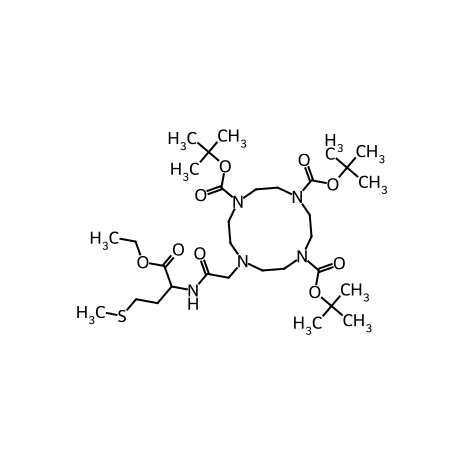 CCOC(=O)C(CCSC)NC(=O)CN1CCN(C(=O)OC(C)(C)C)CCN(C(=O)OC(C)(C)C)CCN(C(=O)OC(C)(C)C)CC1